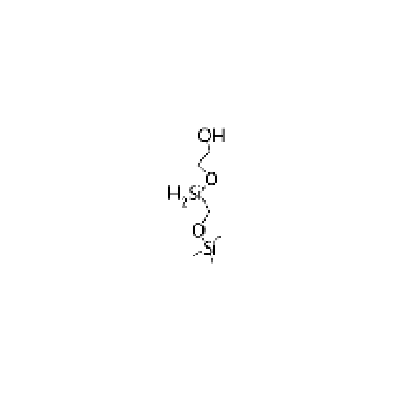 C[Si](C)(C)OC[SiH2]OCCO